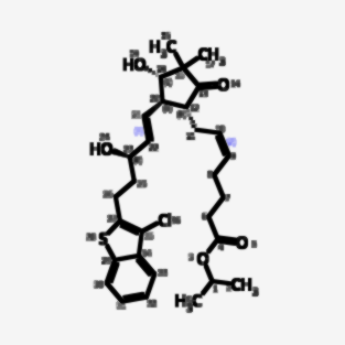 CC(C)OC(=O)CCC/C=C\C[C@H]1C(=O)C(C)(C)[C@@H](O)[C@@H]1/C=C/[C@H](O)CCc1sc2ccccc2c1Cl